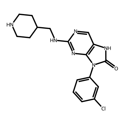 O=c1[nH]c2cnc(NCC3CCNCC3)nc2n1-c1cccc(Cl)c1